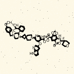 COc1ccc(CN2CCN(C3CC4(CCN(c5cc(Oc6cnc7[nH]ccc7c6)c(C(=O)NS(=O)(=O)c6cc([N+](=O)[O-])c(NCC7(F)CCOCC7)c7c6OCO7)cn5)CC4)C3)[C@H](c3ccccc3C(C)C)C2)cc1